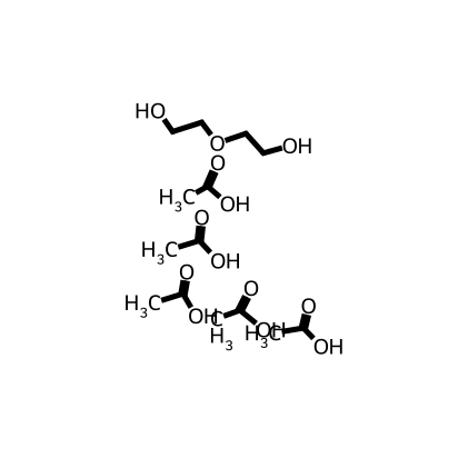 CC(=O)O.CC(=O)O.CC(=O)O.CC(=O)O.CC(=O)O.OCCOCCO